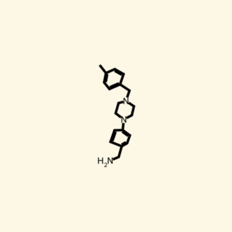 Cc1ccc(CN2CCN(c3ccc(CN)cc3)CC2)cc1